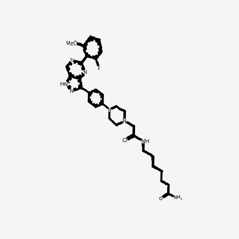 COc1cccc(F)c1-c1ncc2[nH]nc(-c3ccc(N4CCN(CC(=O)NCCCCCCC(N)=O)CC4)cc3)c2n1